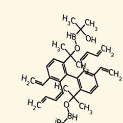 C=C/C=C\c1c(C=C)ccc(C(C)(C)OBC(C)C)c1-c1c(C(C)(C)OBC(C)(C)O)ccc(C=C)c1/C=C\C=C